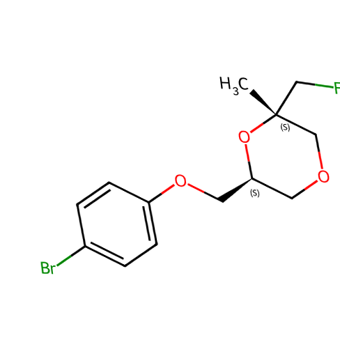 C[C@@]1(CF)COC[C@@H](COc2ccc(Br)cc2)O1